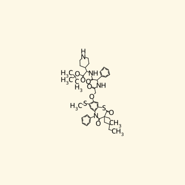 CCCCC1(CC)C(=O)Sc2cc(OCC(=O)NC(C(=O)N[C@@H](C(=O)OC(C)(C)C)C3CCNCC3)c3ccccc3)c(SC)cc2N(c2ccccc2)C1=O